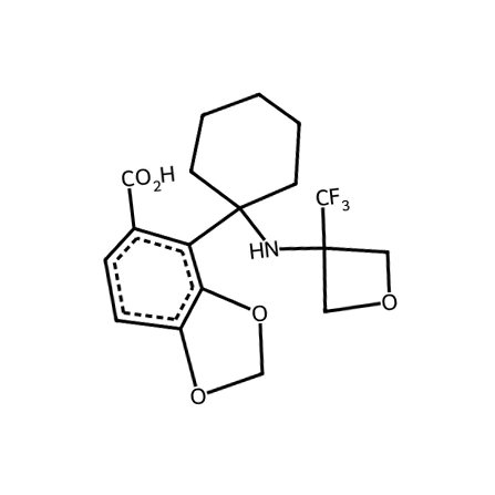 O=C(O)c1ccc2c(c1C1(NC3(C(F)(F)F)COC3)CCCCC1)OCO2